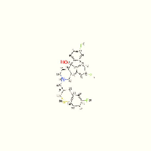 OC(c1ccc(F)cc1)(c1ccc(F)cc1)C1CCN(CC2CSc3ccc(F)cc3C2)CC1